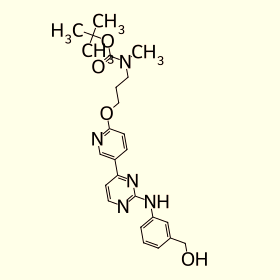 CN(CCCOc1ccc(-c2ccnc(Nc3cccc(CO)c3)n2)cn1)C(=O)OC(C)(C)C